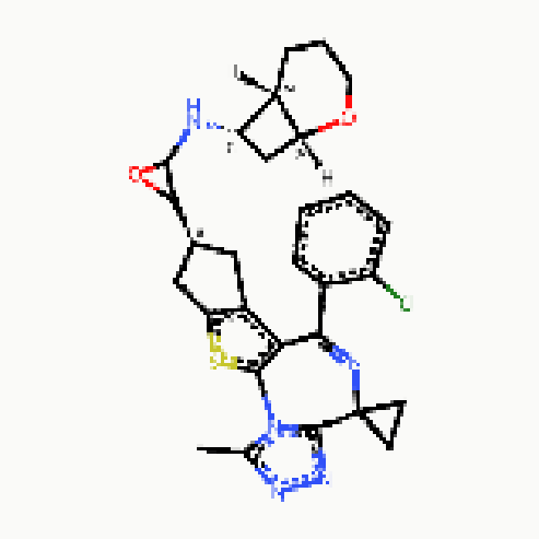 Cc1nnc2n1-c1sc3c(c1C(c1ccccc1Cl)=NC21CC1)C[C@H](C1OC1N[C@H]1C[C@H]2OCCC[C@@H]12)C3